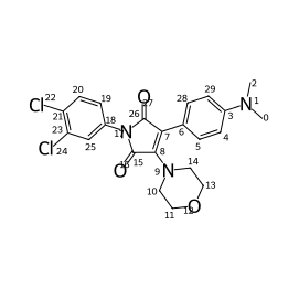 CN(C)c1ccc(C2=C(N3CCOCC3)C(=O)N(c3ccc(Cl)c(Cl)c3)C2=O)cc1